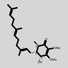 COC1=C(OC)[C@H](O)[C@H](C/C=C(\C)CC/C=C(\C)CCC=C(C)C)[C@@H](C)C1=O